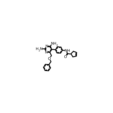 Nc1nc(N)c(-c2ccc(NC(=O)C3CC=CC3)cc2)c(COCc2ccccc2)n1